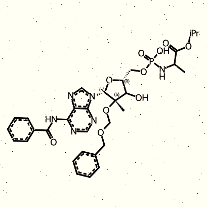 CC(C)OC(=O)C(C)NP(=O)(O)OC[C@H]1O[C@@H](n2cnc3c(NC(=O)c4ccccc4)ncnc32)[C@@](C)(OCOCc2ccccc2)C1O